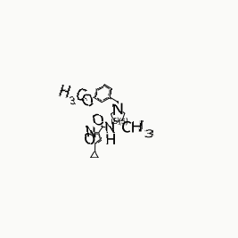 COc1cccc(CN2C[C@H](C)[C@H](NC(=O)c3cc(C4CC4)on3)C2)c1